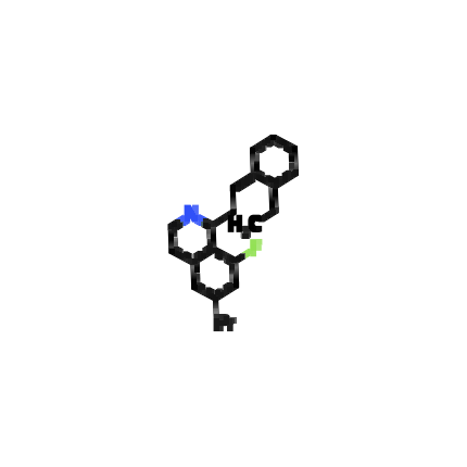 C/C=c1/cccc/c1=C/Cc1nccc2cc(C(C)C)cc(F)c12